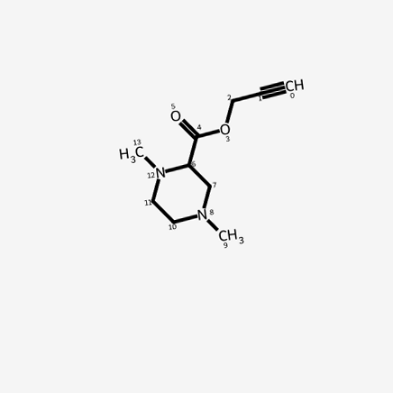 C#CCOC(=O)C1CN(C)CCN1C